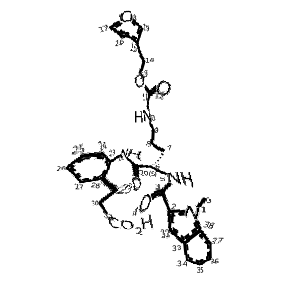 Cn1c(C(=O)N[C@@H](CCCNC(=O)OCc2ccoc2)C(=O)Nc2ccccc2CCC(=O)O)cc2ccccc21